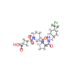 O=C(NCc1ccc(C(F)(F)F)cc1)[C@H]1CCCN1C(=O)[C@H]1CCCN(S(=O)(=O)[C@H]2C[C@H](C(=O)O)C2)C1